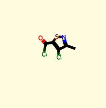 Cc1nsc(C(=O)Cl)c1Cl